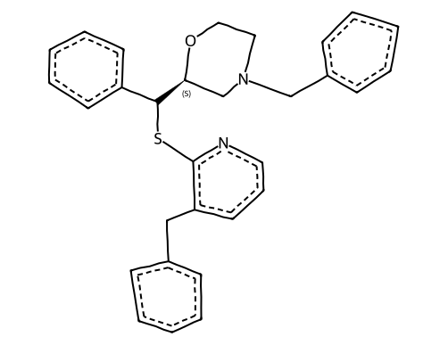 c1ccc(Cc2cccnc2SC(c2ccccc2)[C@@H]2CN(Cc3ccccc3)CCO2)cc1